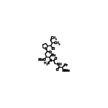 C=CC(C)C(CC)C1CCCN1C(=O)CC(OC)C(C(C)CC)N(C)C(=O)CNC(=O)C(NC)C(C)C